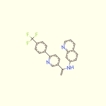 C=C(Nc1ccc2cccnc2c1)c1ccc(-c2ccc(C(F)(F)F)cc2)nc1